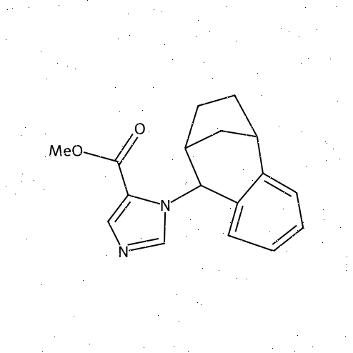 COC(=O)c1cncn1C1c2ccccc2C2CCC1C2